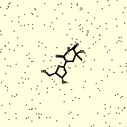 CC1(I)CN([C@H]2C[C@H](O)[C@@H](CO)O2)C(=O)NC1=O